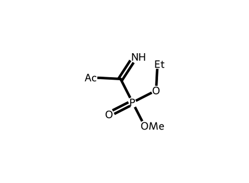 CCOP(=O)(OC)C(=N)C(C)=O